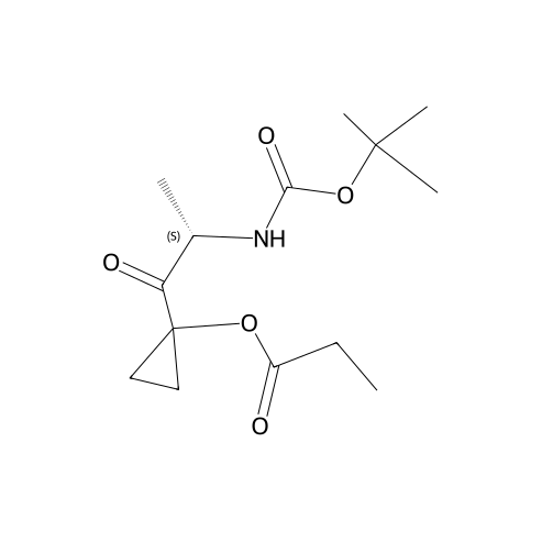 CCC(=O)OC1(C(=O)[C@H](C)NC(=O)OC(C)(C)C)CC1